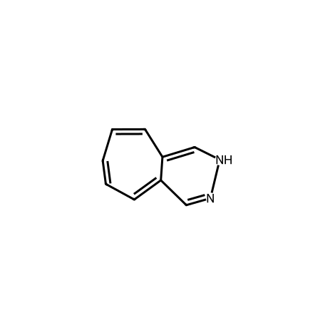 C1=CC=C2C=NNC=C2C=C1